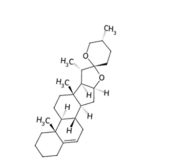 C[C@@H]1CC[C@@]2(OC1)O[C@H]1C[C@H]3[C@@H]4CC=C5CCCC[C@]5(C)[C@H]4CC[C@]3(C)[C@H]1[C@@H]2C